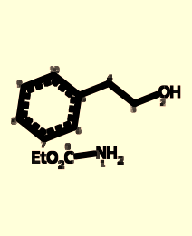 CCOC(N)=O.OCCc1ccccc1